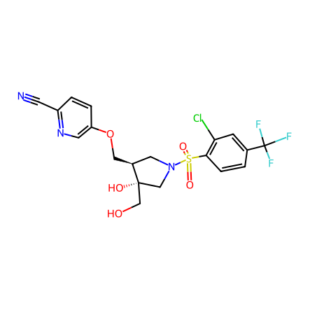 N#Cc1ccc(OC[C@H]2CN(S(=O)(=O)c3ccc(C(F)(F)F)cc3Cl)C[C@@]2(O)CO)cn1